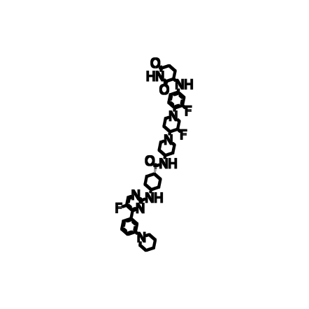 O=C1CCC(Nc2ccc(N3CCC(N4CCC(NC(=O)[C@H]5CC[C@H](Nc6ncc(F)c(-c7cccc(N8CCCCC8)c7)n6)CC5)CC4)C(F)C3)c(F)c2)C(=O)N1